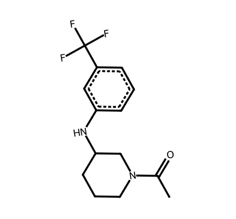 CC(=O)N1CCCC(Nc2cccc(C(F)(F)F)c2)C1